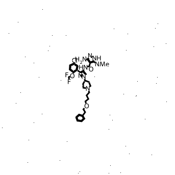 CNc1[nH]nc(N)c1C(=O)Nc1cn(C2CCN(CCCCOCCc3ccccc3)CC2)nc1-c1cc(Cl)ccc1OC(F)F